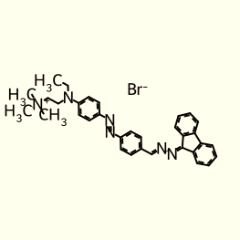 CCN(CC[N+](C)(C)C)c1ccc(N=Nc2ccc(C=NN=C3c4ccccc4-c4ccccc43)cc2)cc1.[Br-]